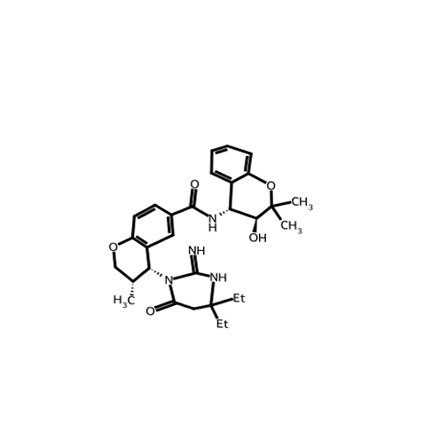 CCC1(CC)CC(=O)N([C@H]2c3cc(C(=O)N[C@@H]4c5ccccc5OC(C)(C)[C@H]4O)ccc3OC[C@H]2C)C(=N)N1